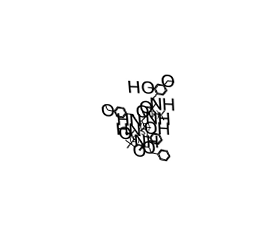 COc1ccc(CNC(C(=O)N[C@@H](C(=O)NCc2ccc(OC)cc2O)C(C)C)[C@@H](O)[C@H](Cc2ccccc2)NC(=O)[C@@H](NC(=O)OCc2ccccc2)C(C)(C)C)cc1